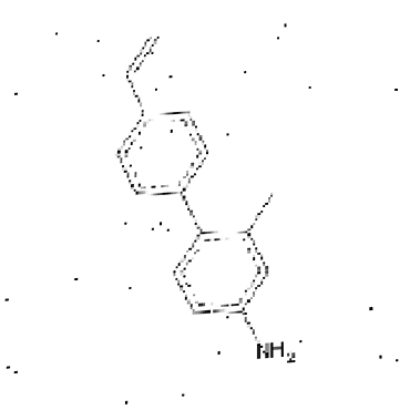 C=Cc1ccc(-c2ccc(N)cc2C)cc1